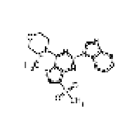 C[C@@H]1COCCN1c1nc(-n2cnc3ccccc32)nc2c(S(C)(=O)=O)csc12